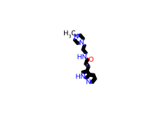 CN1CCN(CCCNC(=O)/C=C/c2c[nH]c3ncccc23)CC1